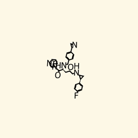 O=C(N[C@@H](CCCN[C@@H]1C[C@H]1c1ccc(F)cc1)C(=O)N1CCN2CCC1CC2)c1ccc(C2C=N2)cc1